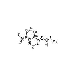 CC(=O)CNSc1cccc2c(N(C)C)cccc12